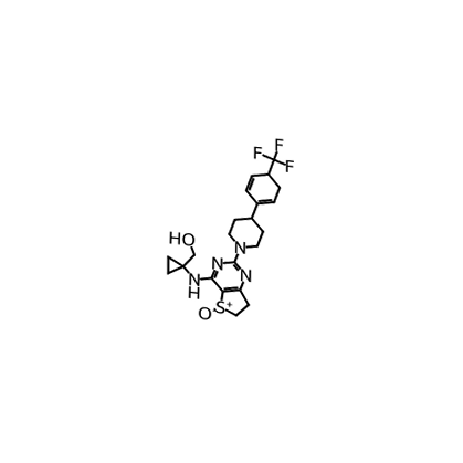 [O-][S+]1CCc2nc(N3CCC(C4=CCC(C(F)(F)F)C=C4)CC3)nc(NC3(CO)CC3)c21